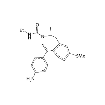 CCNC(=O)N1N=C(c2ccc(N)cc2)c2ccc(SC)cc2CC1C